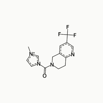 C[n+]1ccn(C(=O)N2CCc3ncc(C(F)(F)F)cc3C2)c1